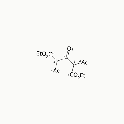 CCOC(=O)C(C(C)=O)C(=O)C(C(C)=O)C(=O)OCC